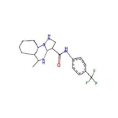 CC1NC2C(C(=O)Nc3ccc(C(F)(F)F)cc3)CNN2C2CCCCC12